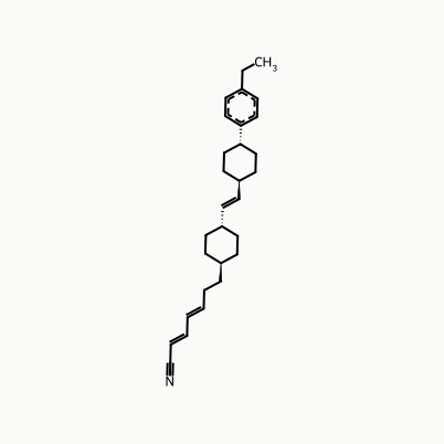 CCc1ccc([C@H]2CC[C@H](C=C[C@H]3CC[C@H](CCC=CC=CC#N)CC3)CC2)cc1